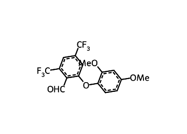 COc1ccc(Oc2cc(C(F)(F)F)cc(C(F)(F)F)c2C=O)c(OC)c1